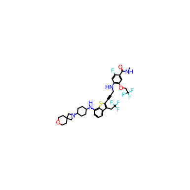 CNC(=O)c1cc(OCC(F)(F)F)c(NCC#Cc2sc3c(NC4CCC(N5CC6(CCOCC6)C5)CC4)cccc3c2CC(F)(F)F)cc1F